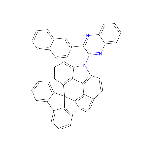 c1ccc2c(c1)-c1ccccc1C21c2cccc3ccc4c(c23)c2c1cccc2n4-c1nc2ccccc2nc1-c1ccc2ccccc2c1